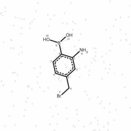 Nc1cc(CBr)ccc1B(O)O